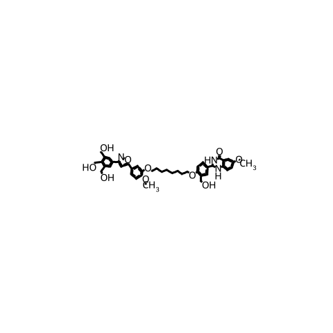 COc1ccc2c(c1)C(=O)NC(c1ccc(OCCCCCCCCOc3cc(-c4cc(-c5cc(CO)c(CO)c(CO)c5)no4)ccc3OC)c(CO)c1)N2